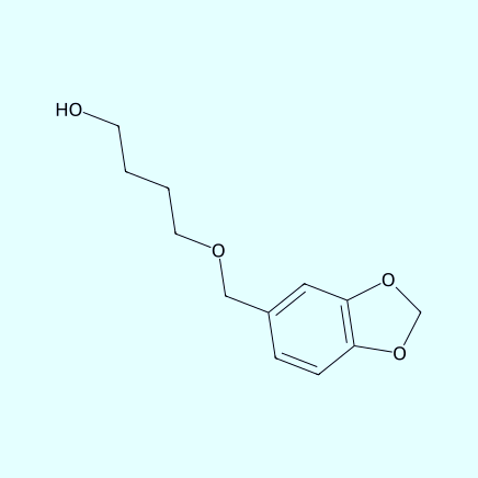 OCCCCOCc1ccc2c(c1)OCO2